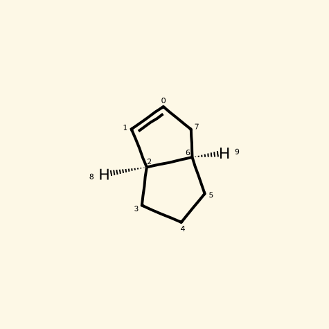 C1=C[C@@H]2CCC[C@@H]2C1